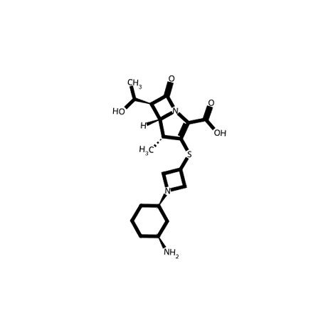 CC(O)[C@H]1C(=O)N2C(C(=O)O)=C(SC3CN([C@@H]4CCC[C@H](N)C4)C3)[C@H](C)[C@H]12